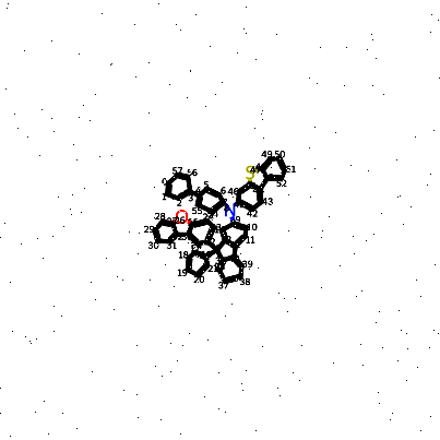 c1ccc(-c2ccc(N(c3ccc4c(c3)C(c3ccccc3)(c3ccc5oc6ccccc6c5c3)c3ccccc3-4)c3ccc4c(c3)sc3ccccc34)cc2)cc1